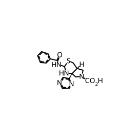 O=C(NC1N[C@@]2(c3cnccn3)CN(C(=O)O)C[C@H]2CS1)c1ccccc1